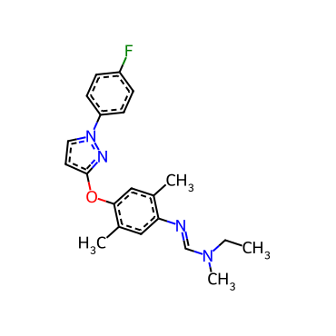 CCN(C)/C=N/c1cc(C)c(Oc2ccn(-c3ccc(F)cc3)n2)cc1C